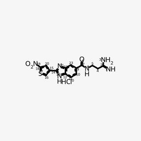 Cl.N=C(N)CCNC(=O)c1ccc2[nH]c(-c3csc([N+](=O)[O-])c3)nc2c1